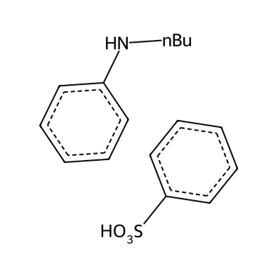 CCCCNc1ccccc1.O=S(=O)(O)c1ccccc1